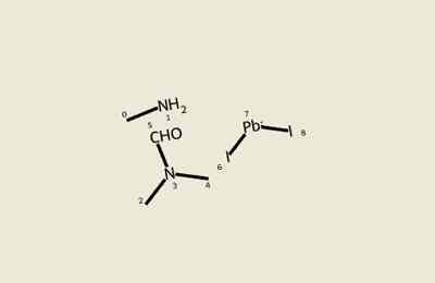 CN.CN(C)C=O.[I][Pb][I]